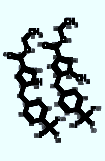 CCOC(=O)c1cc(Cc2ccc(C(F)(F)F)cc2)[nH]n1.CCOC(=O)c1cc(Cc2ccc(C(F)(F)F)cc2)n(C)n1